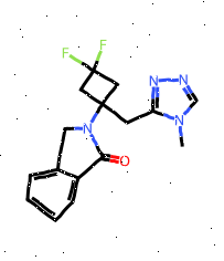 Cn1cnnc1CC1(N2Cc3ccccc3C2=O)CC(F)(F)C1